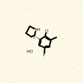 Cc1cc(F)cc([C@@H]2CCCN2)c1Cl.Cl